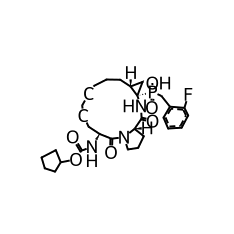 O=C(N[C@H]1CCCCCCC[C@@H]2C[C@@]2(P(=O)(O)Cc2ccccc2F)NC(=O)[C@@H]2CCCN2C1=O)OC1CCCC1